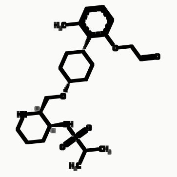 Cc1cccc(OCC=O)c1[C@H]1CC[C@@H](OC[C@@H]2NCCC[C@@H]2NS(=O)(=O)C(C)C)CC1